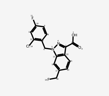 O=C(O)c1nn(Cc2ccc(F)cc2Cl)c2cc(CF)ccc12